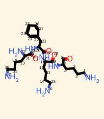 NCCCCC([C]=O)NC(=O)C(CCCCN)NC(=O)C(Cc1ccccc1)NC(=O)C(N)CCCCN